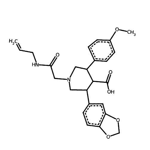 C=CCNC(=O)CN1CC(c2ccc(OC)cc2)C(C(=O)O)C(c2ccc3c(c2)OCO3)C1